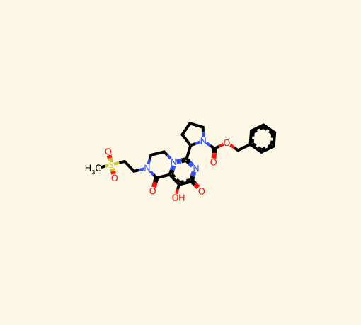 CS(=O)(=O)CCN1CCn2c(C3CCCN3C(=O)OCc3ccccc3)nc(=O)c(O)c2C1=O